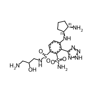 NCC(O)CNS(=O)(=O)c1ccc(N[C@H]2CCC[C@H]2N)c(-c2nn[nH]n2)c1S(N)(=O)=O